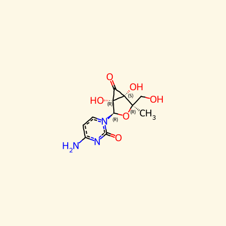 C[C@]1(CO)O[C@@H](n2ccc(N)nc2=O)[C@@]2(O)C(=O)[C@@]12O